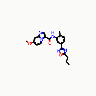 CCCc1nc(-c2ccc(C)c(NC(=O)c3cnc4cc(OC)ccn34)c2)no1